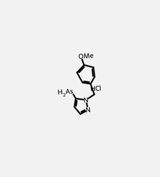 COc1ccc(Cn2nccc2[AsH2])cc1.Cl